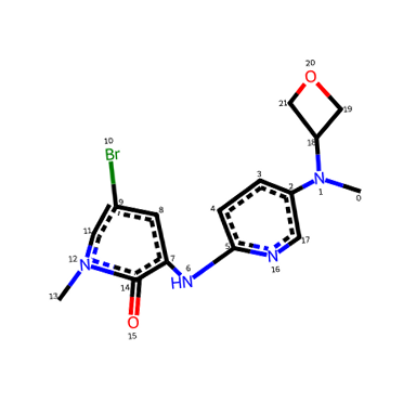 CN(c1ccc(Nc2cc(Br)cn(C)c2=O)nc1)C1COC1